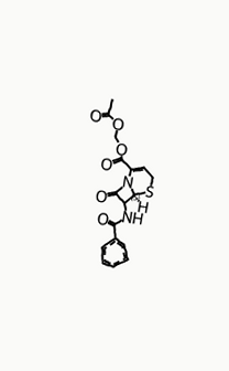 CC(=O)OCOC(=O)C1=CCS[C@H]2C(NC(=O)c3ccccc3)C(=O)N12